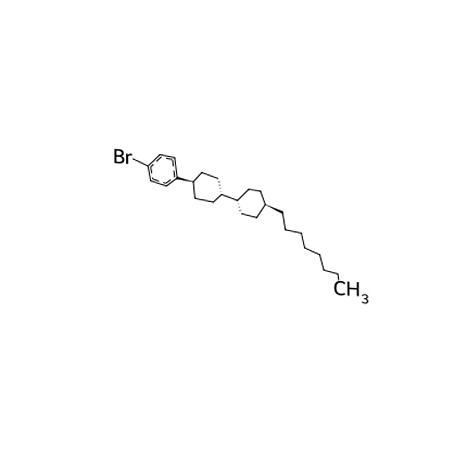 CCCCCCCC[C@H]1CC[C@H]([C@H]2CC[C@H](c3ccc(Br)cc3)CC2)CC1